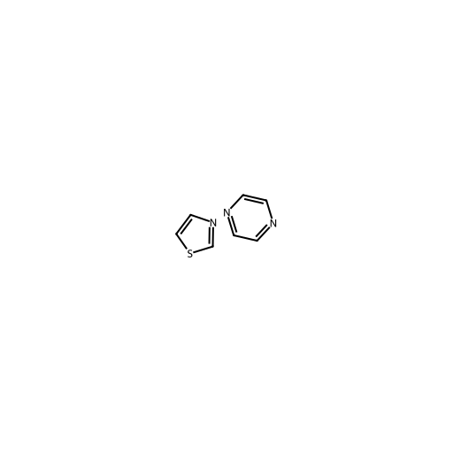 c1cnccn1.c1cscn1